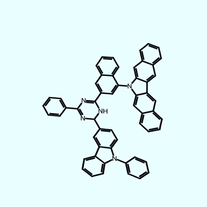 c1ccc(C2=NC(c3ccc4c(c3)c3ccccc3n4-c3ccccc3)NC(c3cc(-n4c5cc6ccccc6cc5c5cc6ccccc6cc54)c4ccccc4c3)=N2)cc1